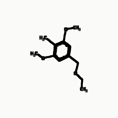 CCOCc1cc(OC)c(C)c(OC)c1